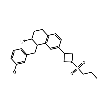 CCCS(=O)(=O)N1CC(c2ccc3c(c2)C(Cc2cccc(Cl)c2)C(N)CC3)C1